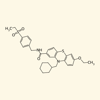 CCOc1ccc2c(c1)Sc1ccc(C(=O)NCc3ccc(S(=O)(=O)CC)cc3)cc1N2CC1CCCCC1